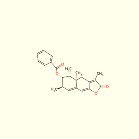 CC1=C2C[C@@]3(C)C(=C[C@@H](C)[C@H](OC(=O)c4ccccc4)[C@@H]3C)C=C2OC1=O